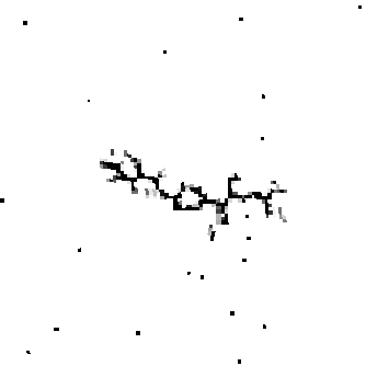 C=CC(=C\C=C(/N)OC)/C(=N/OC)c1ccc(NC(=O)C(=C/N)/C(C)=C(/F)C=C)nc1